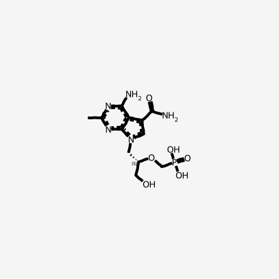 Cc1nc(N)c2c(C(N)=O)cn(C[C@@H](CO)OCP(=O)(O)O)c2n1